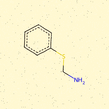 N[CH]Sc1ccccc1